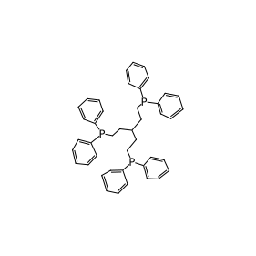 c1ccc(P(CCC(CCP(c2ccccc2)c2ccccc2)CCP(c2ccccc2)c2ccccc2)c2ccccc2)cc1